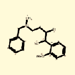 CCC(CCN(C)Cc1ccccc1)C(C#N)c1ccccc1OC